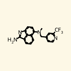 CN(Cc1ccnc(C(F)(F)F)c1)c1ccc2c3c(cccc13)C(N)=N2